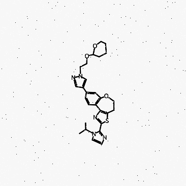 CC(C)n1ccnc1-c1nc2c(s1)CCOc1cc(-c3cnn(CCOC4CCCCO4)c3)ccc1-2